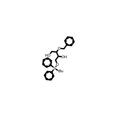 CC(C)(C)[Si](OCC(O)C(CO)OCc1ccccc1)(c1ccccc1)c1ccccc1